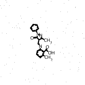 CC1=NN(c2ccccc2)C(=O)C1/C=N/c1cccc(C)c1C(=O)O